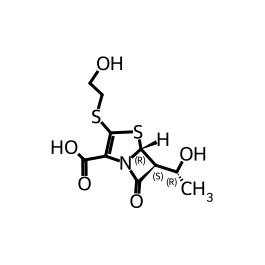 C[C@@H](O)[C@H]1C(=O)N2C(C(=O)O)=C(SCCO)S[C@H]12